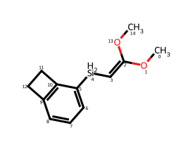 COC(=C[SiH2]c1cccc2c1CC2)OC